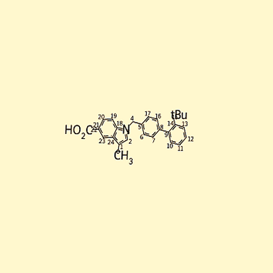 Cc1cn(Cc2ccc(-c3ccccc3C(C)(C)C)cc2)c2ccc(C(=O)O)cc12